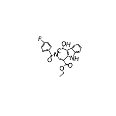 CCOC(=O)C1=CN(C(=O)c2ccc(F)cc2)CC(O)c2c1[nH]c1ccccc21